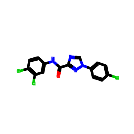 O=C(Nc1ccc(Cl)c(Cl)c1)c1ncn(-c2ccc(Cl)cc2)n1